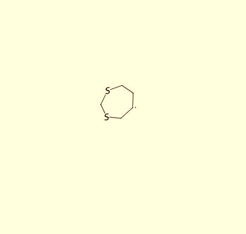 [CH]1CCSCSC1